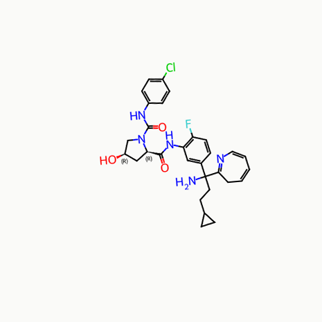 NC(CCC1CC1)(C1=NC=CC=CC1)c1ccc(F)c(NC(=O)[C@H]2C[C@@H](O)CN2C(=O)Nc2ccc(Cl)cc2)c1